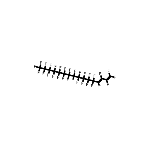 FC(F)=C(F)C(F)=C(F)C(F)(F)C(F)(F)C(F)(F)C(F)(F)C(F)(F)C(F)(F)C(F)(F)C(F)(F)C(F)(F)C(F)(F)C(F)(F)C(F)(F)F